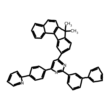 CC1(C)c2ccc(-c3cc(-c4ccc(-c5ccccn5)cc4)nc(-c4cccc(-c5ccccc5)c4)n3)cc2-c2c1ccc1ccccc21